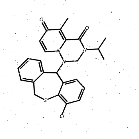 Cc1c2n(ccc1=O)N(C1c3ccccc3CSc3c(Cl)cccc31)CN(C(C)C)C2=O